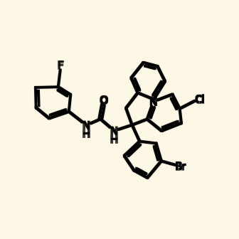 O=C(Nc1cccc(F)c1)NC(Cc1ccccc1)(c1cccc(Br)c1)c1ccc(Cl)cn1